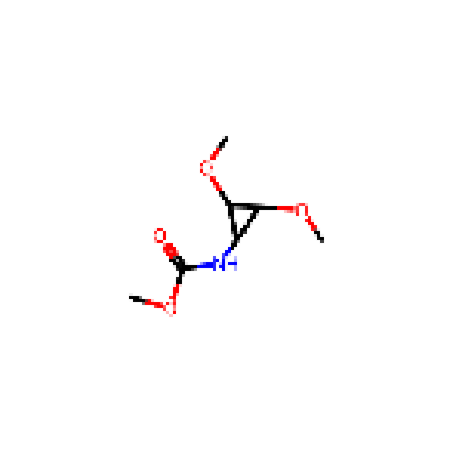 COC(=O)NC1C(OC)C1OC